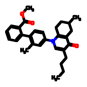 CCCCc1cn(-c2ccc(-c3ccccc3C(=O)OC)c(C)c2)c2c(c1=O)CC(C)CC2